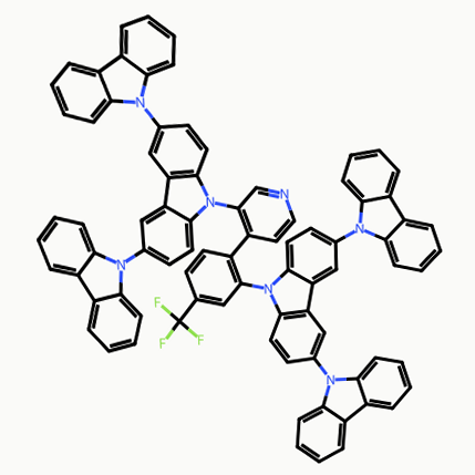 FC(F)(F)c1ccc(-c2ccncc2-n2c3ccc(-n4c5ccccc5c5ccccc54)cc3c3cc(-n4c5ccccc5c5ccccc54)ccc32)c(-n2c3ccc(-n4c5ccccc5c5ccccc54)cc3c3cc(-n4c5ccccc5c5ccccc54)ccc32)c1